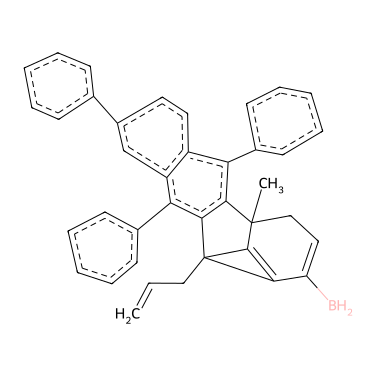 BC1=CCC2(C)C3=C1C3(CC=C)c1c2c(-c2ccccc2)c2ccc(-c3ccccc3)cc2c1-c1ccccc1